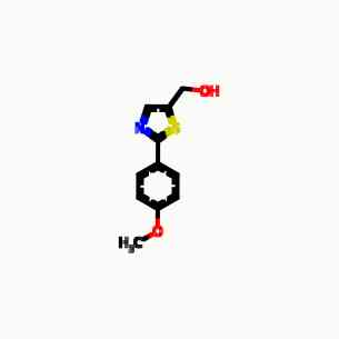 COc1ccc(-c2ncc(CO)s2)cc1